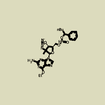 CCCCC(O[PH](=O)OC[C@H]1O[C@@H](n2cnc3c(OCC)nc(N)nc32)C(C)(N=[N+]=[N-])[C@@H]1O)c1ccccc1